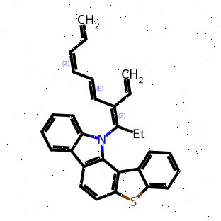 C=C\C=C/C=C/C(C=C)=C(/CC)n1c2ccccc2c2ccc3sc4ccccc4c3c21